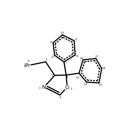 CC(C)CC1N=COC1(c1ccccc1)c1ccccc1